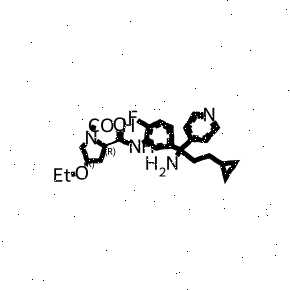 CCO[C@@H]1C[C@H](C(=O)Nc2cc(C(N)(CCC3CC3)c3ccncc3)ccc2F)N(C(=O)O)C1